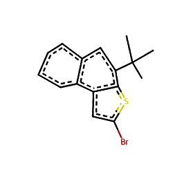 CC(C)(C)c1cc2ccccc2c2cc(Br)sc12